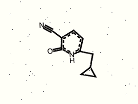 N#Cc1ccc(CC2CC2)[nH]c1=O